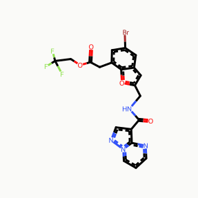 O=C(Cc1cc(Br)cc2cc(CNC(=O)c3cnn4cccnc34)oc12)OCC(F)(F)F